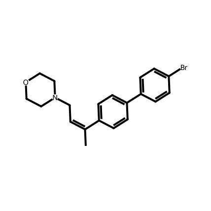 C/C(=C/CN1CCOCC1)c1ccc(-c2ccc(Br)cc2)cc1